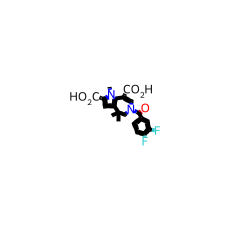 Cn1c(C(=O)O)cc2c1C(C(=O)O)=CN(C(=O)c1ccc(F)c(F)c1)CC2(C)C